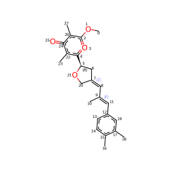 COc1oc([C@H]2C/C(=C/C(C)=C/c3ccc(C)c(C)c3)CO2)c(C)c(=O)c1C